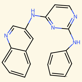 [c]1cccc(Nc2nccc(Nc3cnc4ccccc4c3)n2)c1